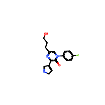 O=c1c(C2=CCN=C2)nc(CCCO)cn1-c1ccc(F)cc1